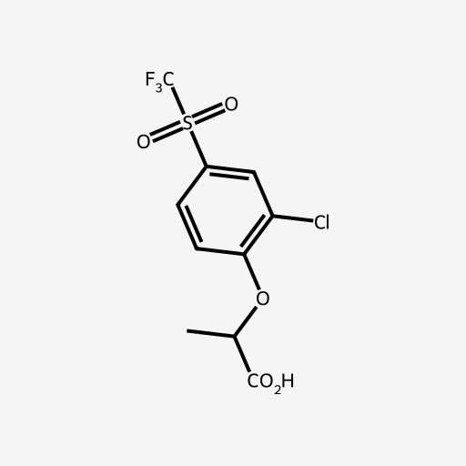 CC(Oc1ccc(S(=O)(=O)C(F)(F)F)cc1Cl)C(=O)O